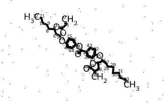 C=CC(=O)OC(CCCCCCC)Oc1ccc(OC(=O)c2ccc(OC(CCCCCCCC)C3CC(=C)C(=O)O3)cc2)cc1